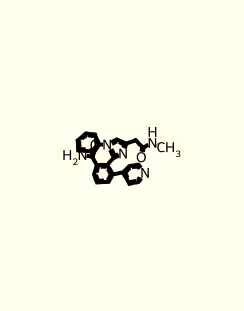 CNC(=O)Cc1cn(-c2ccccc2)c(-c2c(C(N)=O)cccc2-c2ccncc2)n1